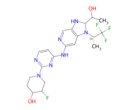 CC(O)C1Nc2cnc(Nc3ccnc(N4CCC(O)C(F)C4)n3)cc2N1[C@@H](C)C(F)(F)F